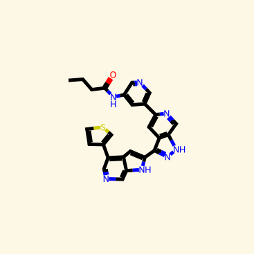 CCCC(=O)Nc1cncc(-c2cc3c(-c4cc5c(-c6ccsc6)cncc5[nH]4)n[nH]c3cn2)c1